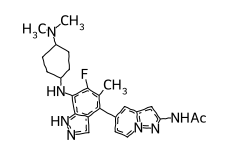 CC(=O)Nc1cc2cc(-c3c(C)c(F)c(NC4CCC(N(C)C)CC4)c4[nH]ncc34)ccn2n1